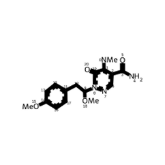 CNc1c(C(N)=O)cnn(C(Cc2ccc(OC)cc2)OC)c1=O